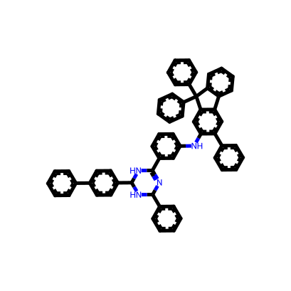 c1ccc(-c2ccc(C3NC(c4cccc(Nc5cc6c(cc5-c5ccccc5)-c5ccccc5C6(c5ccccc5)c5ccccc5)c4)=NC(c4ccccc4)N3)cc2)cc1